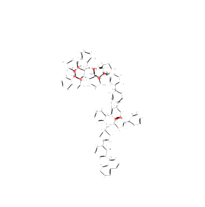 c1ccc(-c2ccc(N(c3ccc(-c4cccc(-c5cccc6ccccc56)c4)cc3)c3ccccc3-c3cccc4c3oc3cc(-c5cccc(-c6ccc(N(c7ccccc7-c7cccc(-c8cccc9ccccc89)c7)c7ccccc7-c7cccc8c7oc7ccccc78)cc6)c5)ccc34)cc2)cc1